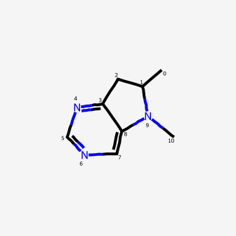 CC1Cc2ncncc2N1C